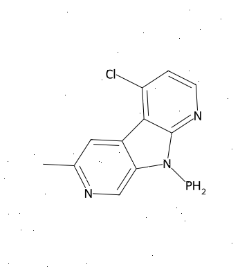 Cc1cc2c3c(Cl)ccnc3n(P)c2cn1